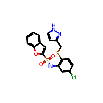 O=S(=O)(Nc1cc(Cl)ccc1SCc1cc[nH]n1)c1cc2ccccc2o1